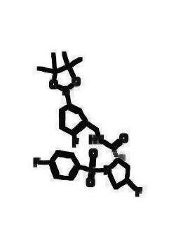 CC1(C)OB(c2ccc(F)c(CNC(=O)[C@@H]3CC(F)CN3S(=O)(=O)c3ccc(F)cc3)c2)OC1(C)C